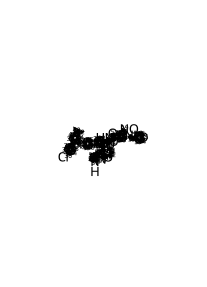 O=C(NS(=O)(=O)c1ccc(NCC2CCOCC2)c([N+](=O)[O-])c1)c1ccc(N2CCN(CC3=C(c4ccc(Cl)cc4)CCC4(CC4)C3)CC2)cc1N1CCCOc2nc3[nH]ccc3cc21